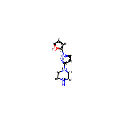 c1coc(-n2ccc(N3CCNCC3)n2)c1